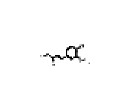 CC(=O)CC(=O)/C=C/c1ccc(Cl)c([N+](=O)[O-])c1